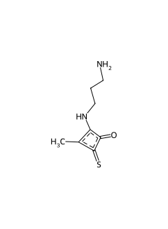 Cc1c(NCCCN)c(=O)c1=S